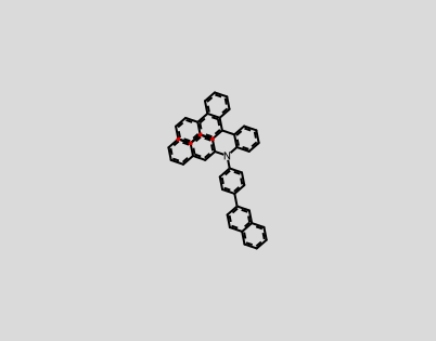 c1ccc(N(c2ccc(-c3ccc4ccccc4c3)cc2)c2ccc3ccccc3c2)c(-c2cc3ccccc3c3ccccc23)c1